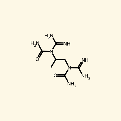 CC(CN(C(=N)N)C(N)=O)N(C(=N)N)C(N)=O